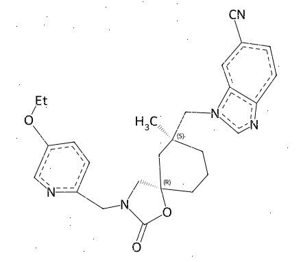 CCOc1ccc(CN2C[C@]3(CCC[C@](C)(Cn4cnc5ccc(C#N)cc54)C3)OC2=O)nc1